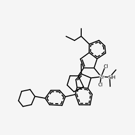 CCC(C)c1cccc2c1C=C(C1CCCC1)[CH]2[Zr]([Cl])([Cl])([CH]1C(C)=Cc2c(-c3ccc(C4CCCCC4)cc3)cccc21)[SiH](C)C